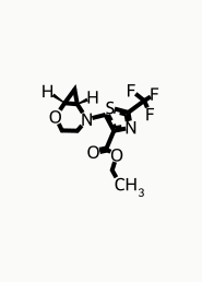 CCOC(=O)c1nc(C(F)(F)F)sc1N1CCO[C@@H]2C[C@@H]21